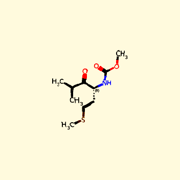 COC(=O)N[C@H](CCSC)C(=O)C(C)C